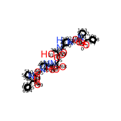 COC(=O)C(c1ccccc1)[C@H]1CCCCN1C(=O)OC[n+]1cccc(C(=O)NC(CO)C(=O)OCC(NC(=O)c2ccc[n+](COC(=O)N3CCCC[C@H]3C(C(=O)OC)c3ccccc3)c2)C(=O)O)c1